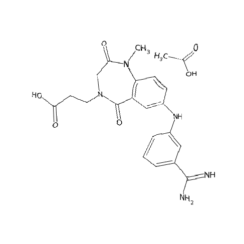 CC(=O)O.CN1C(=O)CN(CCC(=O)O)C(=O)c2cc(Nc3cccc(C(=N)N)c3)ccc21